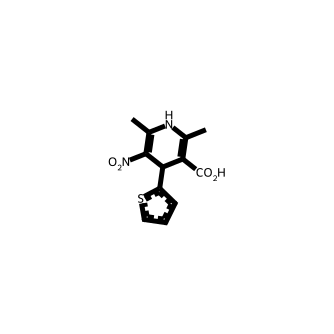 CC1=C(C(=O)O)C(c2cccs2)C([N+](=O)[O-])=C(C)N1